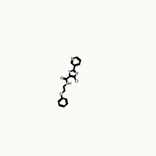 O=C(NCCOc1ccccc1)c1sc(-c2cccnc2)nc1Cl